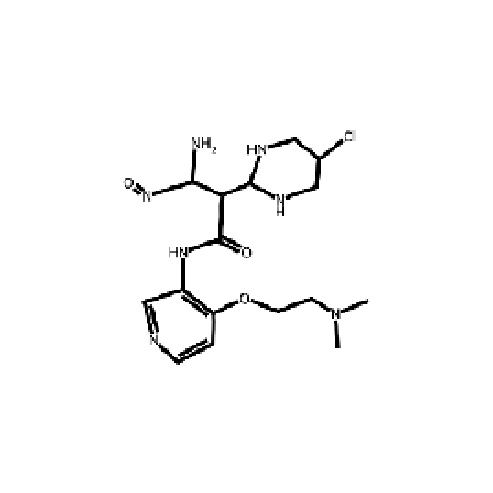 CN(C)CCOc1ccncc1NC(=O)C(C(N)N=O)C1NCC(Cl)CN1